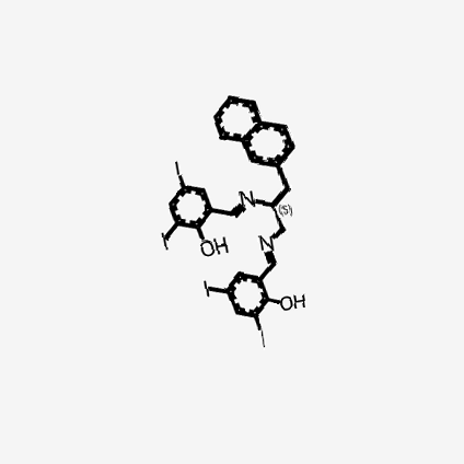 Oc1c(I)cc(I)cc1C=NC[C@H](Cc1ccc2ccccc2c1)N=Cc1cc(I)cc(I)c1O